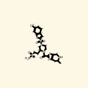 CC1Cc2nc(C(=O)N3CCN(S(=O)(=O)c4cc5ccc(Cl)cc5s4)CC3CCS(N)(=O)=O)sc2CN1